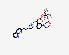 CC(C)(C)OC(=O)CC(CN1CCC(CCc2ccc3cccnc3n2)C1)c1cccc(N2CCOCC2)c1